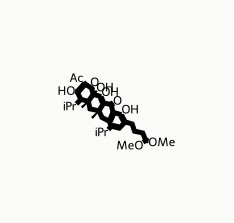 COC(CCCc1cc(C(C)C)c2c(c1O)C(=O)C1=C(O)[C@@]3(O)C(=O)C(C(C)=O)=C(O)C(C(C)C)[C@@]3(C)C[C@@]1(C)C2)OC